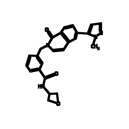 Cn1nccc1-c1ccc2c(=O)n(Cc3cccc(C(=O)NC4COC4)c3)ccc2c1